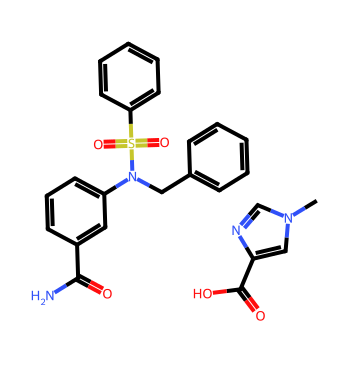 Cn1cnc(C(=O)O)c1.NC(=O)c1cccc(N(Cc2ccccc2)S(=O)(=O)c2ccccc2)c1